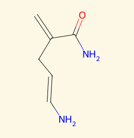 C=C(CC=CN)C(N)=O